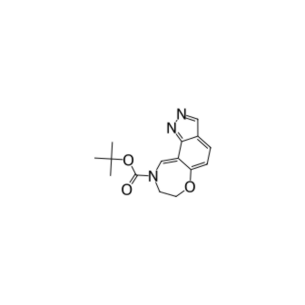 CC(C)(C)OC(=O)N1C=c2c(ccc3c2=NN=C3)OCC1